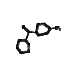 O=C(c1cc[c]cc1)c1ccc(C(F)(F)F)cc1